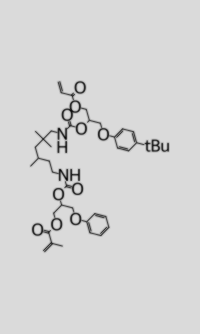 C=CC(=O)OCC(COc1ccc(C(C)(C)C)cc1)OC(=O)NCC(C)(C)CC(C)CCNC(=O)OC(COC(=O)C(=C)C)COc1ccccc1